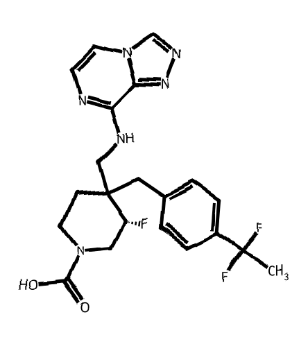 CC(F)(F)c1ccc(CC2(CNc3nccn4cnnc34)CCN(C(=O)O)C[C@H]2F)cc1